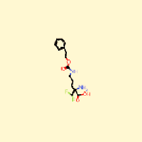 NC(CCCNC(=O)OCCc1ccccc1)(C(=O)O)C(F)F